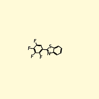 Fc1cc(-c2nc3ccccc3s2)c(F)c(F)c1F